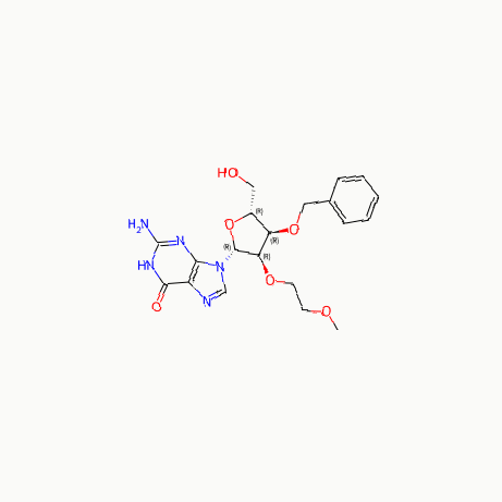 COCCO[C@@H]1[C@H](OCc2ccccc2)[C@@H](CO)O[C@H]1n1cnc2c(=O)[nH]c(N)nc21